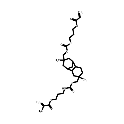 C=CC(=O)OCCCNC(=O)OCC1(C)CC2CC(C1)C1CC(C)(COC(=O)NCCCOC(=O)C(=C)C)CCC21